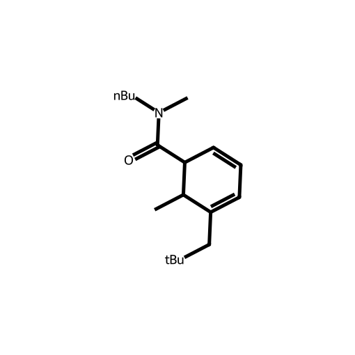 CCCCN(C)C(=O)C1C=CC=C(CC(C)(C)C)C1C